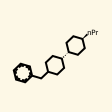 CCC[C@H]1CC[C@H](C2CCC(Cc3ccccc3)CC2)CC1